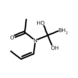 BC(O)(O)N(/C=C\C)C(C)=O